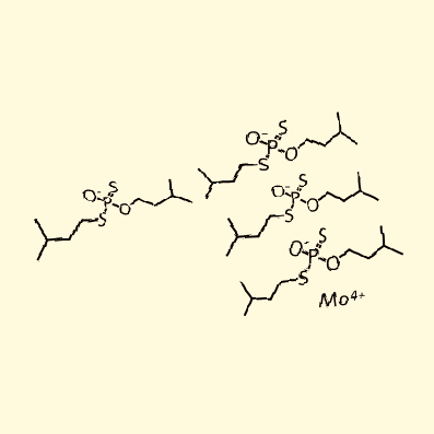 CC(C)CCOP([O-])(=S)SCCC(C)C.CC(C)CCOP([O-])(=S)SCCC(C)C.CC(C)CCOP([O-])(=S)SCCC(C)C.CC(C)CCOP([O-])(=S)SCCC(C)C.[Mo+4]